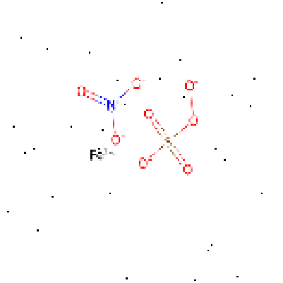 O=S(=O)([O-])O[O-].O=[N+]([O-])[O-].[Fe+3]